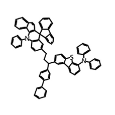 c1ccc(-c2ccc(C(CCc3ccc4c(c3)C3(c5ccccc5-c5ccccc53)c3ccc5ccccc5c3N4c3ccccc3)c3ccc4sc5c(N(c6ccccc6)c6ccccc6)cccc5c4c3)cc2)cc1